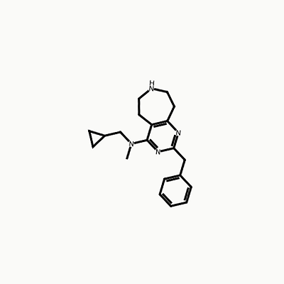 CN(CC1CC1)c1nc(Cc2ccccc2)nc2c1CCNCC2